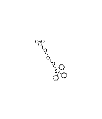 CS(=O)(=O)OCCOCCOCCOCCSC(c1ccccc1)(c1ccccc1)c1ccccc1